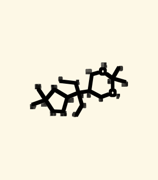 CCC(CC)(C1COC(C)(C)OC1)C1CCC(C)(C)C1